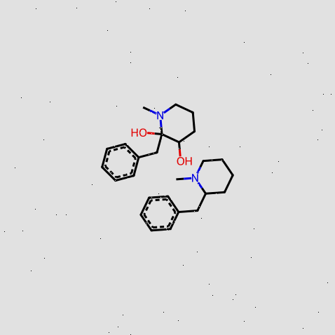 CN1CCCC(O)C1(O)Cc1ccccc1.CN1CCCCC1Cc1ccccc1